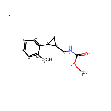 CC(C)(C)OC(=O)NCC1CC1c1ccccc1C(=O)O